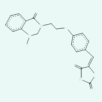 CN1CN(CCOc2ccc(C=C3SC(=O)NC3=O)cc2)C(=O)c2ccccc21